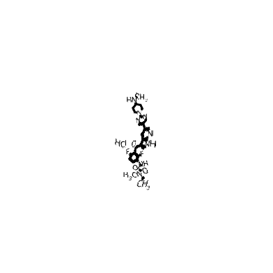 CCN(C)S(=O)(=O)Nc1ccc(F)c(C(=O)c2c[nH]c3ncc(-c4cnc(N5CCC(NC)CC5)nc4)cc23)c1F.Cl